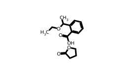 CCOC(C)c1ccccc1C(=O)O.O=C1CCCO1